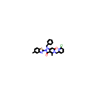 Cc1ccc2sc(-n3c(=O)c4c(C)n(Cc5cccc(Cl)n5)c(=O)cc4n3Cc3ccccc3)nc2c1